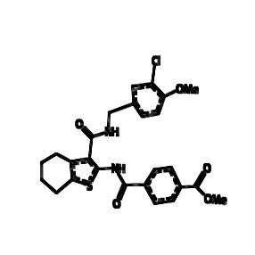 COC(=O)c1ccc(C(=O)Nc2sc3c(c2C(=O)NCc2ccc(OC)c(Cl)c2)CCCC3)cc1